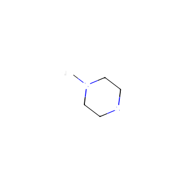 [CH2]CCN1CCNCC1